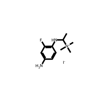 CC(Nc1ccc(N)cc1F)[N+](C)(C)C.[I-]